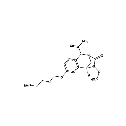 COCCOCOc1ccc2c(c1)[C@H]1CN(C(=O)N1OS(=O)(=O)O)C2C(N)=O